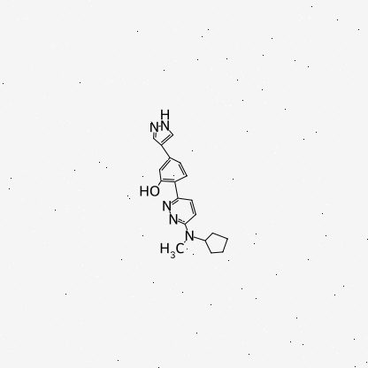 CN(c1ccc(-c2ccc(-c3cn[nH]c3)cc2O)nn1)C1CCCC1